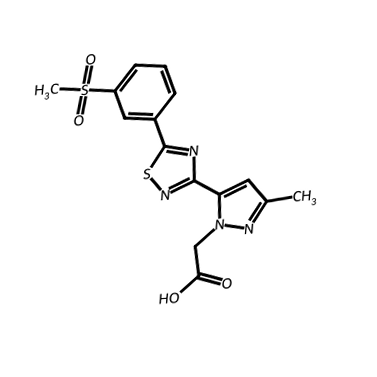 Cc1cc(-c2nsc(-c3cccc(S(C)(=O)=O)c3)n2)n(CC(=O)O)n1